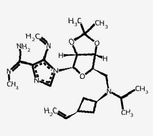 C=C[C@H]1C[C@@H](N(C[C@H]2O[C@@H](n3cnc(/C(N)=N\C)c3N=C)[C@@H]3OC(C)(C)O[C@@H]32)C(C)C)C1